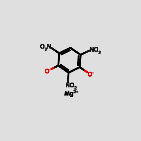 O=[N+]([O-])c1cc([N+](=O)[O-])c([O-])c([N+](=O)[O-])c1[O-].[Mg+2]